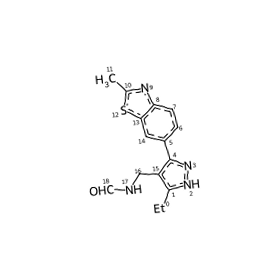 CCc1[nH]nc(-c2ccc3nc(C)sc3c2)c1CNC=O